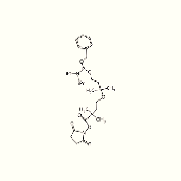 CC(C)N(C(C)C)P(OCCC(C)(C)OCCC(C)(C)C(=O)ON1C(=O)CCC1=O)OCc1ccccc1